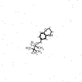 CC(C)(C)[Si](C)(C)OCc1ccc2c(c1)NCCO2